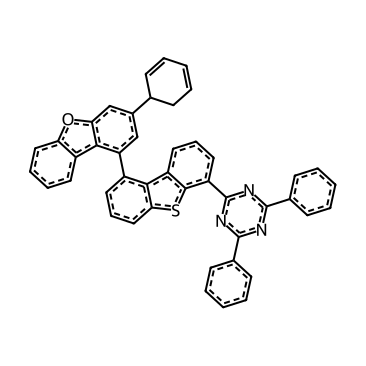 C1=CCC(c2cc(-c3cccc4sc5c(-c6nc(-c7ccccc7)nc(-c7ccccc7)n6)cccc5c34)c3c(c2)oc2ccccc23)C=C1